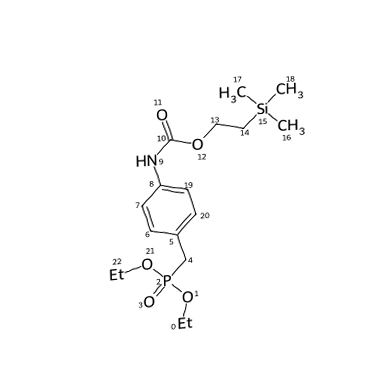 CCOP(=O)(Cc1ccc(NC(=O)OCC[Si](C)(C)C)cc1)OCC